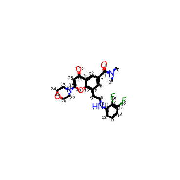 CN(C)C(=O)c1cc(CCNc2cccc(F)c2F)c2oc(N3CCOCC3)cc(=O)c2c1